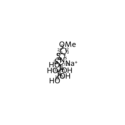 COc1ccc(CN(C[C@H](O)[C@@H](O)[C@H](O)[C@H](O)CO)C(=S)[S-])cc1.[Na+]